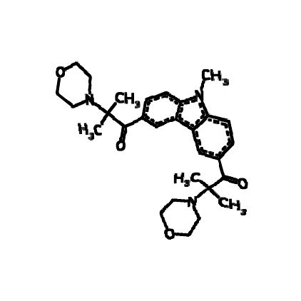 Cn1c2ccc(C(=O)C(C)(C)N3CCOCC3)cc2c2cc(C(=O)C(C)(C)N3CCOCC3)ccc21